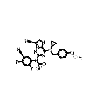 COc1ccc(CN(c2nc(N(C(=O)O)c3cc(C#N)c(F)cc3F)nn3c(C#N)cnc23)C2CC2)cc1